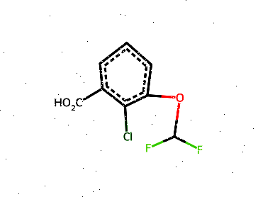 O=C(O)c1cccc(OC(F)F)c1Cl